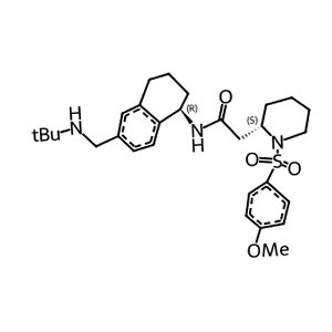 COc1ccc(S(=O)(=O)N2CCCC[C@H]2CC(=O)N[C@@H]2CCCc3cc(CNC(C)(C)C)ccc32)cc1